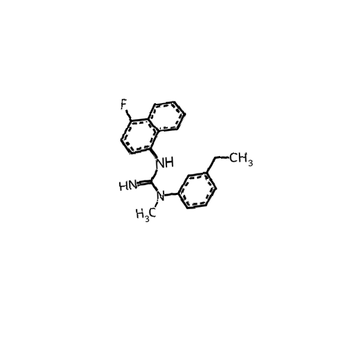 CCc1cccc(N(C)C(=N)Nc2ccc(F)c3ccccc23)c1